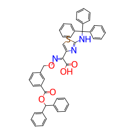 O=C(O)C(=NOCc1cccc(C(=O)OC(c2ccccc2)c2ccccc2)c1)c1csc(NC(c2ccccc2)(c2ccccc2)c2ccccc2)n1